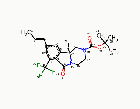 C/C=C/c1cc2c(c(C(F)(F)F)c1)C(=O)N1CCN(C(=O)OC(C)(C)C)C[C@@H]21